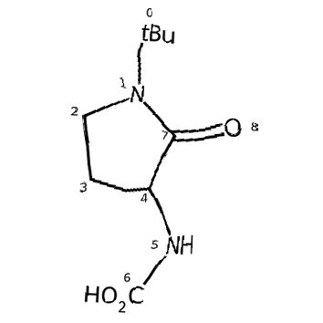 CC(C)(C)N1CCC(NC(=O)O)C1=O